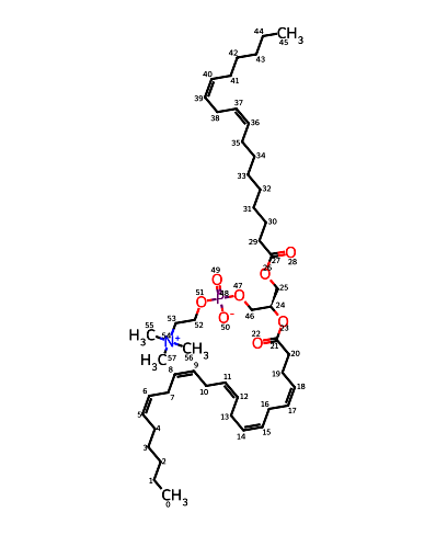 CCCCC/C=C\C/C=C\C/C=C\C/C=C\C/C=C\CCC(=O)O[C@H](COC(=O)CCCCCCC/C=C\C/C=C\CCCCC)COP(=O)([O-])OCC[N+](C)(C)C